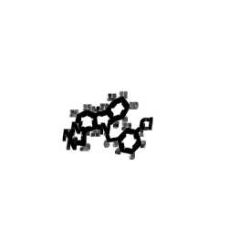 Clc1cccc(Cn2c3ccccc3c3ccn4nncc4c32)c1